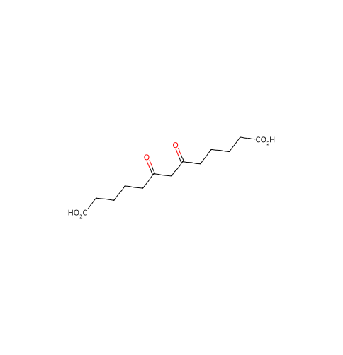 O=C(O)CCCCC(=O)CC(=O)CCCCC(=O)O